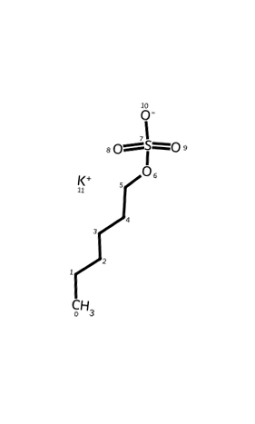 CCCCCCOS(=O)(=O)[O-].[K+]